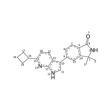 CC1(C)NC(=O)c2ccc(-c3c[nH]c4nc(C5CCC5)ccc34)cc21